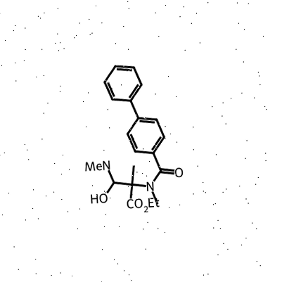 CCOC(=O)C(C)(C(O)NC)N(C)C(=O)c1ccc(-c2ccccc2)cc1